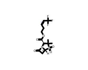 CC1(C)[C@H](C(=O)OCC/C=C\C(F)(F)F)N2C(=O)C[C@H]2S1(=O)=O